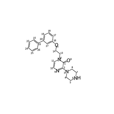 O=c1c(N2CCNCC2)nccn1CCOc1cccc(-c2ccccc2)c1